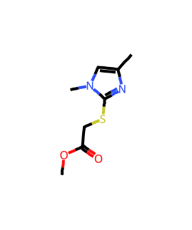 COC(=O)CSc1nc(C)cn1C